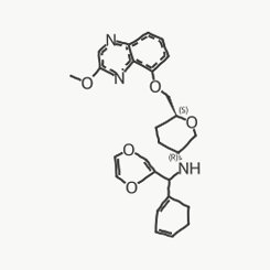 COc1cnc2cccc(OC[C@@H]3CC[C@@H](NC(C4=CC=CCC4)C4=COC=CO4)CO3)c2n1